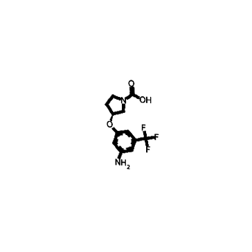 Nc1cc(O[C@H]2CCN(C(=O)O)C2)cc(C(F)(F)F)c1